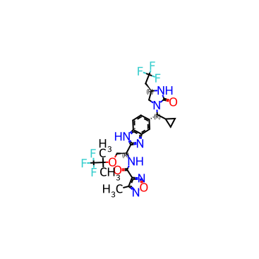 Cc1nonc1C(=O)N[C@@H](COC(C)(C)C(F)(F)F)c1nc2cc([C@@H](C3CC3)N3C[C@@H](CC(F)(F)F)NC3=O)ccc2[nH]1